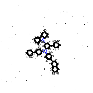 c1ccc(-c2ccc(N(c3ccc(-c4ccc5ccccc5c4)cc3)c3cc(-c4ccccc4)cc(-n4c5ccccc5c5ccccc54)c3)cc2)cc1